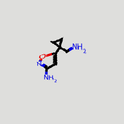 NCC1(c2cc(N)no2)CC1